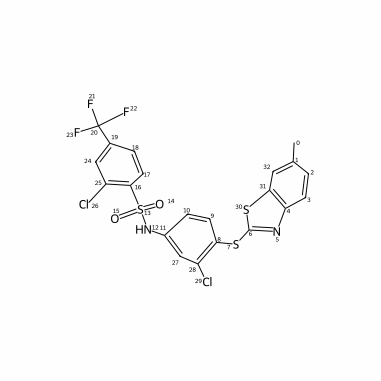 Cc1ccc2nc(Sc3ccc(NS(=O)(=O)c4ccc(C(F)(F)F)cc4Cl)cc3Cl)sc2c1